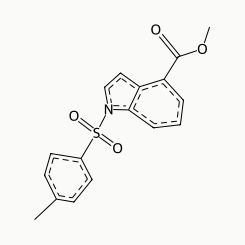 COC(=O)c1cccc2c1ccn2S(=O)(=O)c1ccc(C)cc1